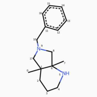 CC12CCCNC1(C)CN(Cc1ccccc1)C2